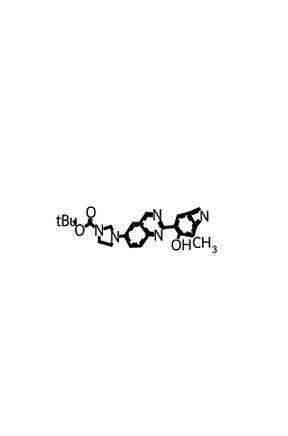 Cc1c(O)c(-c2ncc3cc(N4CCN(C(=O)OC(C)(C)C)C4)ccc3n2)cc2c1=NC=2